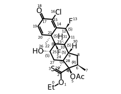 CCOC(=S)[C@@]1(OC(C)=O)[C@H](C)C[C@H]2[C@@H]3C[C@H](F)C4=C(Cl)C(=O)C=C[C@]4(C)[C@@]3(F)[C@@H](O)C[C@@]21C